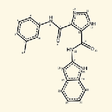 Cc1cccc(NC(=O)c2nc[nH]c2C(=O)Nc2nc3ccccc3[nH]2)c1